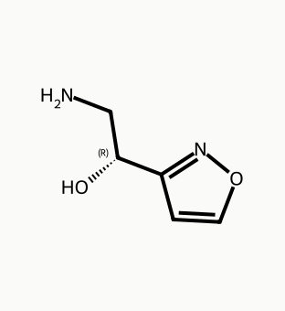 NC[C@@H](O)c1ccon1